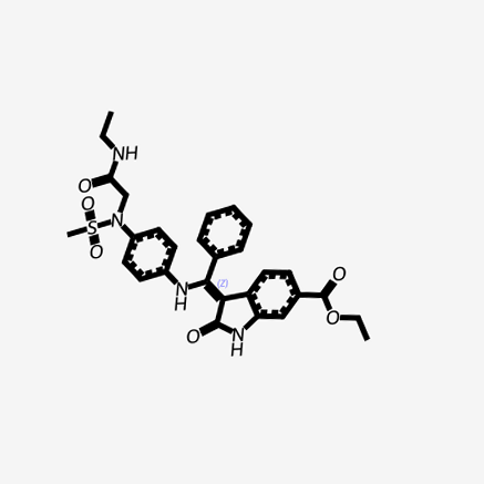 CCNC(=O)CN(c1ccc(N/C(=C2\C(=O)Nc3cc(C(=O)OCC)ccc32)c2ccccc2)cc1)S(C)(=O)=O